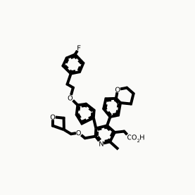 Cc1nc(COCC2COC2)c(-c2ccc(OCCc3ccc(F)cc3)cc2)c(-c2ccc3c(c2)CCCO3)c1CC(=O)O